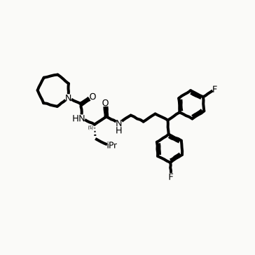 CC(C)C[C@H](NC(=O)N1CCCCCC1)C(=O)NCCCC(c1ccc(F)cc1)c1ccc(F)cc1